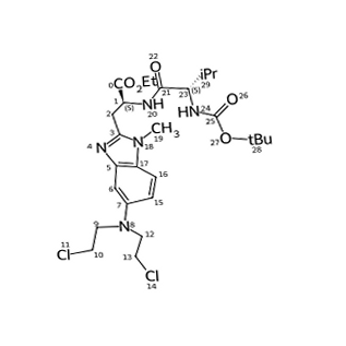 CCOC(=O)[C@H](Cc1nc2cc(N(CCCl)CCCl)ccc2n1C)NC(=O)[C@@H](NC(=O)OC(C)(C)C)C(C)C